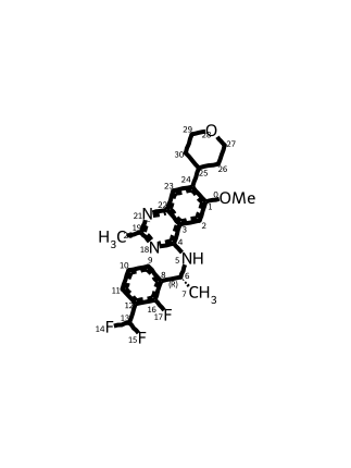 COc1cc2c(N[C@H](C)c3cccc(C(F)F)c3F)nc(C)nc2cc1C1CCOCC1